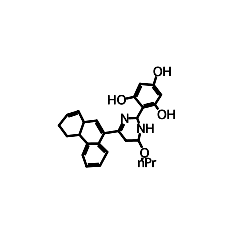 CCCOC1CC(C2=CC3C=CCCC3c3ccccc32)=NC(c2c(O)cc(O)cc2O)N1